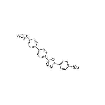 CC(C)(C)c1ccc(-c2nnc(-c3ccc(-c4ccc(S(=O)(=O)O)cc4)cc3)o2)cc1